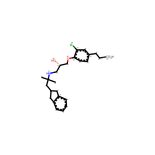 CC(C)(CC1Cc2ccccc2C1)NC[C@H](O)COc1ccc(CCC(=O)O)cc1Br